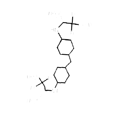 CCC(CC)(C(=O)O)[C@H](NC1CCC(CC2CCC(N[C@H](C(=O)O)C(CC)(CC)C(=O)O)CC2)CC1)C(=O)O